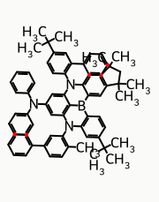 Cc1ccc(-c2ccccc2)cc1N1c2cc(C(C)(C)C)ccc2B2c3cc4c(cc3N(c3ccc(C(C)(C)C)cc3-c3ccccc3)c3cc(N(c5ccccc5)c5ccccc5)cc1c32)C(C)(C)CC4(C)C